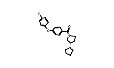 O=C(c1ccc(Oc2ccc(F)cc2)cc1)N1CC[C@H](N2CCCC2)C1